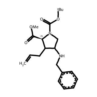 C=CCC1C(NCc2ccccc2)CN(C(=O)OC(C)(C)C)[C@@H]1C(=O)OC